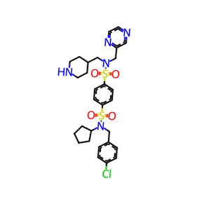 O=S(=O)(c1ccc(S(=O)(=O)N(Cc2ccc(Cl)cc2)C2CCCC2)cc1)N(Cc1cnccn1)CC1CCNCC1